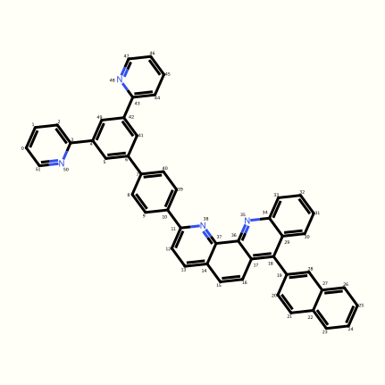 c1ccc(-c2cc(-c3ccc(-c4ccc5ccc6c(-c7ccc8ccccc8c7)c7ccccc7nc6c5n4)cc3)cc(-c3ccccn3)c2)nc1